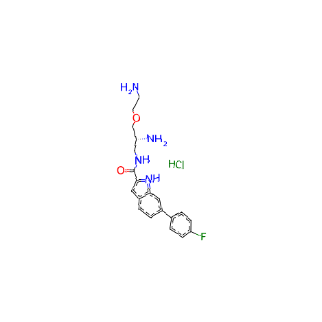 Cl.NCCOC[C@H](N)CNC(=O)c1cc2ccc(-c3ccc(F)cc3)cc2[nH]1